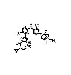 CCc1cc(N2C[C@@H]3C[C@H]2CN3C)ccc1Nc1ncc(C(F)(F)F)c(-c2cc3c(s2)C(=O)N(C2CC2)CCS3(=O)=O)n1